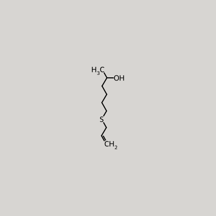 C=CCSCCCCC(C)O